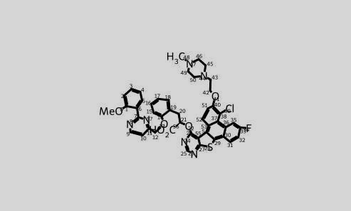 COc1ccccc1-c1nccc(COc2ccccc2C[C@@H](Oc2ncnc3sc4c5ccc(F)cc5c5c(Cl)c(OCCN6CCN(C)CC6)ccc5c4c23)C(=O)O)n1